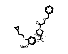 COc1ccc([C@@H]2CN(C(=O)COCc3ccccc3)C[C@@]2(C)[C@@H](C)O)cc1OCCC1CC1